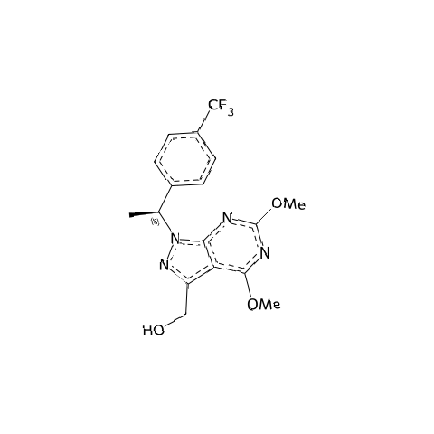 COc1nc(OC)c2c(CO)nn([C@@H](C)c3ccc(C(F)(F)F)cc3)c2n1